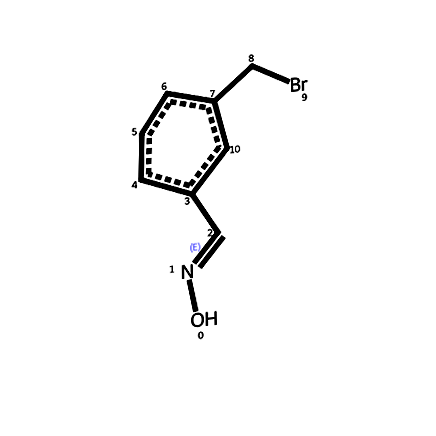 O/N=C/c1cccc(CBr)c1